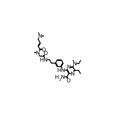 CCc1nc(C(N)=O)c(Nc2cccc(CCNC(=O)CN(C)C(=O)/C=C/CN(C)C)c2)nc1N(C)CC